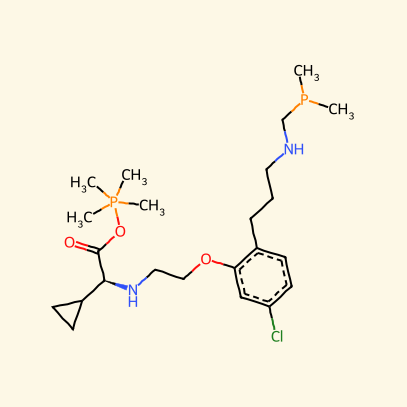 CP(C)CNCCCc1ccc(Cl)cc1OCCN[C@H](C(=O)OP(C)(C)(C)C)C1CC1